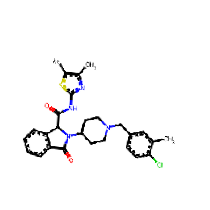 CC(=O)c1sc(NC(=O)C2c3ccccc3C(=O)N2C2CCN(Cc3ccc(Cl)c(C)c3)CC2)nc1C